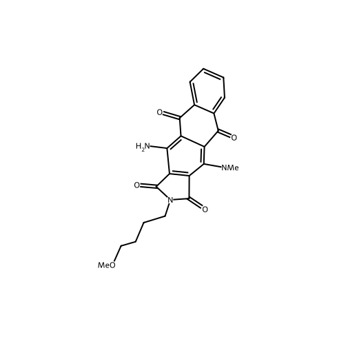 CNc1c2c(=O)c3ccccc3c(=O)c2c(N)c2c(=O)n(CCCCOC)c(=O)c12